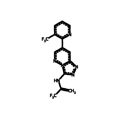 C=C(Nc1nnc2cc(-c3ncccc3C(F)(F)F)cnn12)C(F)(F)F